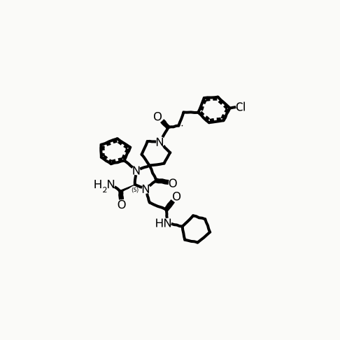 NC(=O)[C@@H]1N(CC(=O)NC2CCCCC2)C(=O)C2(CCN(C(=O)[CH]Cc3ccc(Cl)cc3)CC2)N1c1ccccc1